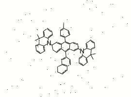 Cc1ccc(-c2c3c(c(-c4ccc5c(c4)CCC=C5)c4cc(N5c6ccccc6C(C)(C)c6ccccc65)ccc24)=CCC(N2c4ccccc4C(C)(C)c4ccccc42)C=3)cc1